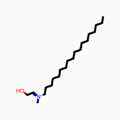 CCCCCCCCCCCCCCCCCC[N+](C)=CCO